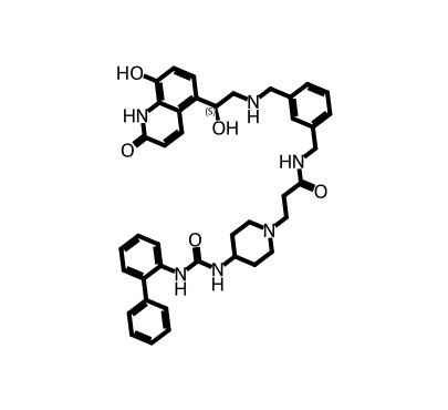 O=C(CCN1CCC(NC(=O)Nc2ccccc2-c2ccccc2)CC1)NCc1cccc(CNC[C@@H](O)c2ccc(O)c3[nH]c(=O)ccc23)c1